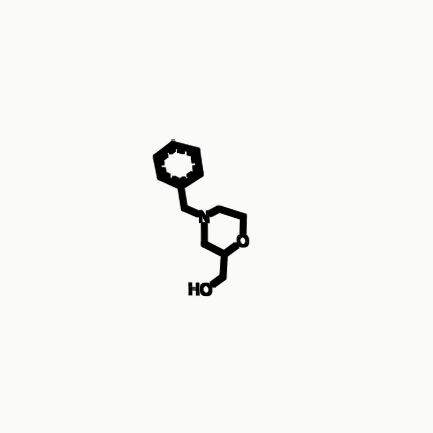 OCC1CN(Cc2cc[c]cc2)CCO1